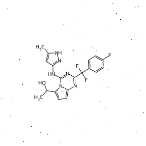 Cc1cc(Nc2nc(C(F)(F)c3ccc(F)cc3)nc3ccc(C(C)O)n23)n[nH]1